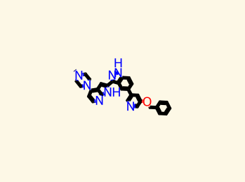 CN1CCN(c2ccnc3[nH]c(-c4n[nH]c5ccc(-c6cncc(OCc7ccccc7)c6)cc45)cc23)CC1